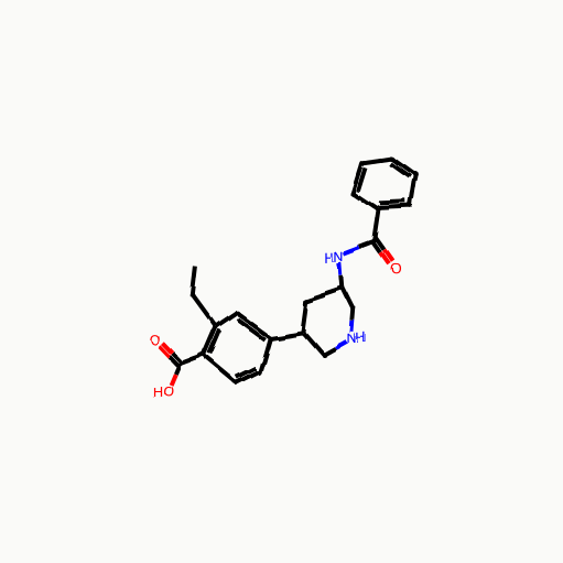 CCc1cc(C2CNCC(NC(=O)c3ccccc3)C2)ccc1C(=O)O